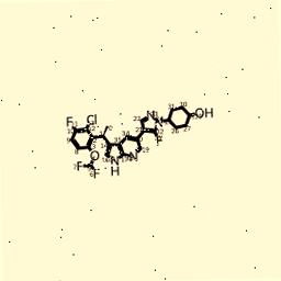 C[C@H](c1c(OC(F)F)ccc(F)c1Cl)c1c[nH]c2ncc(-c3cnn(C4CCC(O)CC4)c3F)cc12